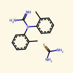 Cc1ccccc1N(C(=N)N)c1ccccc1C.NC(N)=S